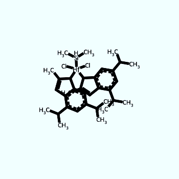 CC1=Cc2c(C(C)C)cc(C(C)C)cc2[CH]1[Hf]([Cl])([Cl])([CH]1C(C)=Cc2c(C(C)C)cc(C(C)C)cc21)[SiH](C)C